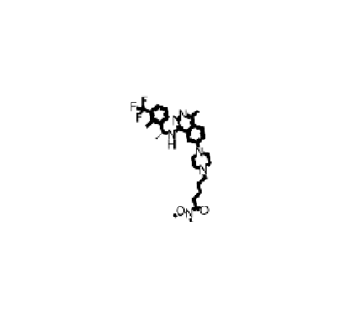 CON(C)C(=O)CCCCN1CCN(c2ccc3c(C)nnc(N[C@H](C)c4cccc(C(F)(F)F)c4C)c3c2)CC1